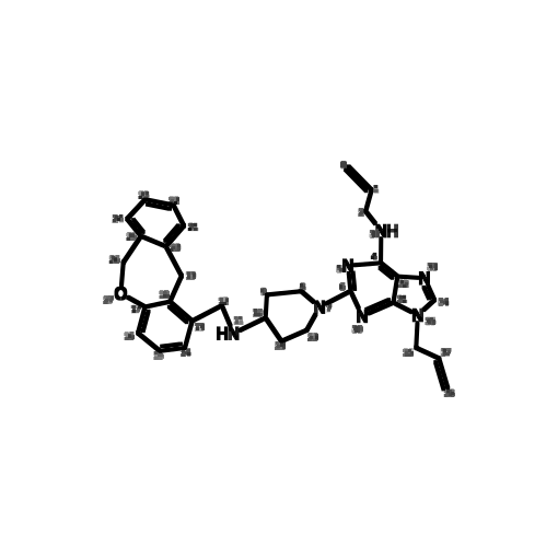 C=CCNc1nc(N2CCC(NCc3cccc4c3Cc3ccccc3CO4)CC2)nc2c1ncn2CC=C